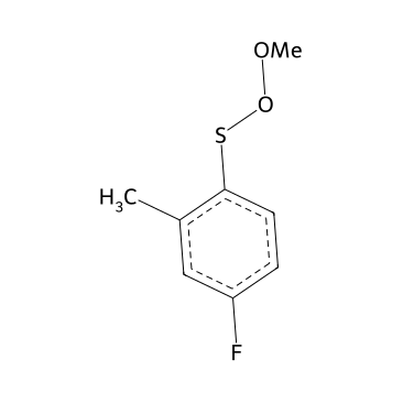 COOSc1ccc(F)cc1C